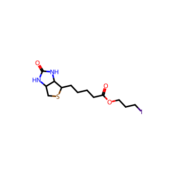 O=C1NC2CSC(CCCCC(=O)OCCCI)C2N1